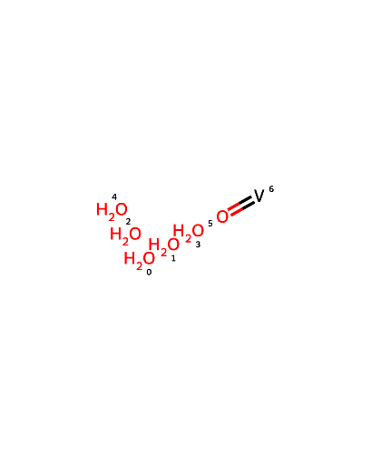 O.O.O.O.O.[O]=[V]